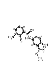 CSc1n[nH]c2ncc(NC(=O)c3cccc(N)c3F)cc12